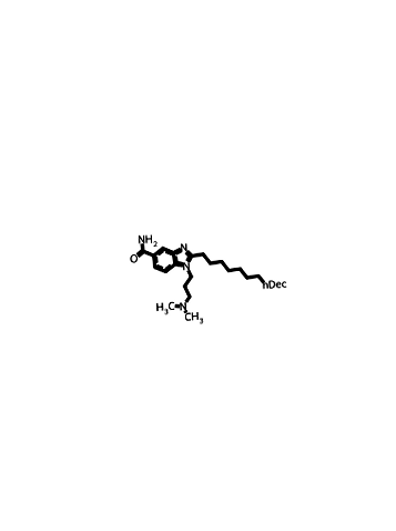 CCCCCCCCCCCCCCCCCc1nc2cc(C(N)=O)ccc2n1CCCN(C)C